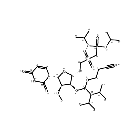 CO[C@@H]1[C@H](OP(OCCC#N)N(C(C)C)C(C)C)[C@@H](CCS(=O)(=O)CP(=O)(OC(C)C)OC(C)C)O[C@H]1n1ccc(=O)[nH]c1=O